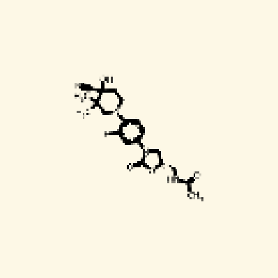 CC(=O)NC[C@H]1CN(c2ccc(N3CCC(O)(C#N)C(C)(C)C3)c(F)c2)C(=O)O1